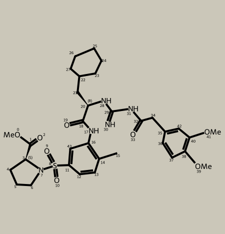 COC(=O)[C@@H]1CCCN1S(=O)(=O)c1ccc(C)c(NC(=O)[C@@H](CC2CCCCC2)NC(=N)NC(=O)Cc2ccc(OC)c(OC)c2)c1